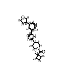 CC1(C(=O)N2CCC(c3noc(-c4cncc(C5CCOC5)c4)n3)CC2)CCC1